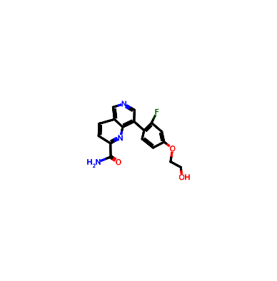 NC(=O)c1ccc2cncc(-c3ccc(OCCO)cc3F)c2n1